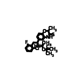 CC1Oc2ccc(C(Cc3c(F)cccc3Cl)NC(=O)OC(C)(C)C)cc2NC1=S